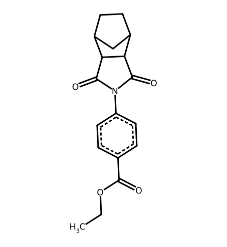 CCOC(=O)c1ccc(N2C(=O)C3C4CCC(C4)C3C2=O)cc1